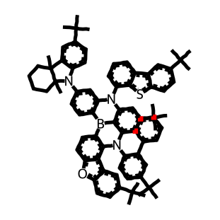 CC(C)(C)c1ccc(N2c3cc(C(C)(C)C)cc4c3B(c3ccc(N5c6ccc(C(C)(C)C)cc6C6(C)CCCCC56C)cc3N4c3cccc4c3sc3ccc(C(C)(C)C)cc34)c3ccc4oc5ccc(C(C)(C)C)cc5c4c32)c(-c2ccccc2)c1